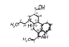 C=Cc1[nH]c2cccc3c2c1C[C@@H]1C3C[C@@H](CO)CN1CCC